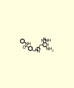 Nc1cc(Cc2cnn(Cc3ccc(C(=O)Nc4ccccc4)cc3)c2)c2nn[nH]c2n1